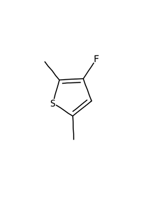 Cc1cc(F)c(C)s1